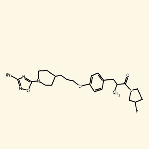 CC(C)c1noc(N2CCC(CCCOc3ccc(CC(N)C(=O)N4CCC(F)C4)cc3)CC2)n1